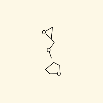 C1CCOC1.COCC1CO1